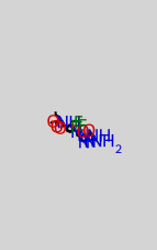 CCCC(NC(=O)c1ccc(N(Cc2cnc3nc(N)[nH]c(=O)c3n2)C(=O)C(F)(F)F)cc1)C(=O)OC